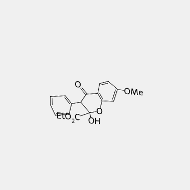 CCOC(=O)C1(O)Oc2cc(OC)ccc2C(=O)C1c1ccccc1